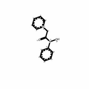 O=C(C[n+]1ccccc1)N(O)c1ccccc1